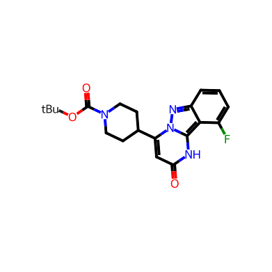 CC(C)(C)OC(=O)N1CCC(c2cc(=O)[nH]c3c4c(F)cccc4nn23)CC1